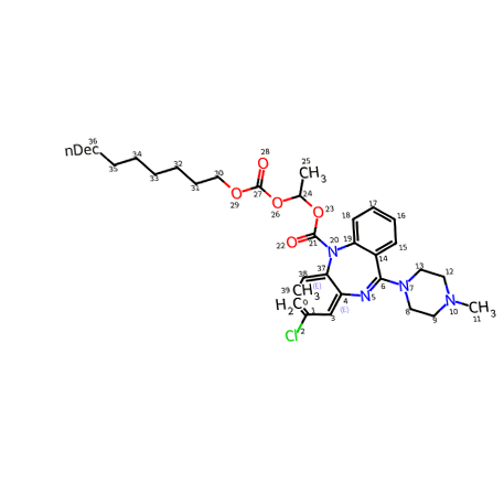 C=C(Cl)/C=C1/N=C(N2CCN(C)CC2)c2ccccc2N(C(=O)OC(C)OC(=O)OCCCCCCCCCCCCCCCC)/C1=C/C